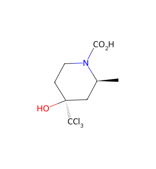 C[C@H]1C[C@](O)(C(Cl)(Cl)Cl)CCN1C(=O)O